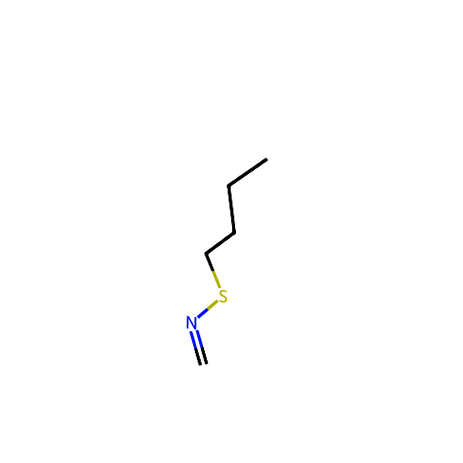 C=NSCCCC